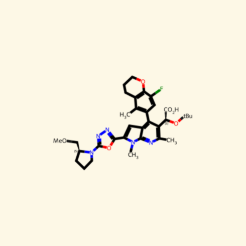 COC[C@@H]1CCCN1c1nnc(-c2cc3c(-c4cc(F)c5c(c4C)CCCO5)c([C@H](OC(C)(C)C)C(=O)O)c(C)nc3n2C)o1